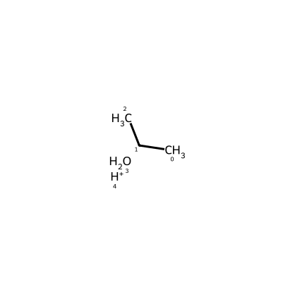 CCC.O.[H+]